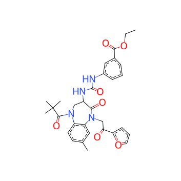 CCOC(=O)c1cccc(NC(=O)NC2CN(C(=O)C(C)(C)C)c3ccc(C)cc3N(CC(=O)c3ccco3)C2=O)c1